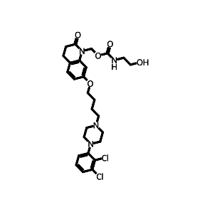 O=C(NCCO)OCN1C(=O)CCc2ccc(OCCCCN3CCN(c4cccc(Cl)c4Cl)CC3)cc21